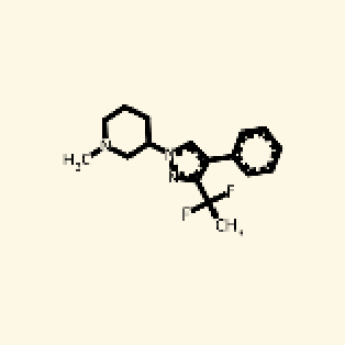 CN1CCCC(n2cc(-c3ccccc3)c(C(C)(F)F)n2)C1